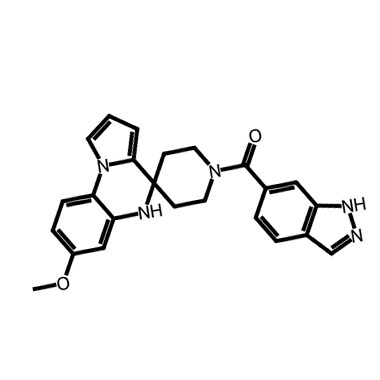 COc1ccc2c(c1)NC1(CCN(C(=O)c3ccc4cn[nH]c4c3)CC1)c1cccn1-2